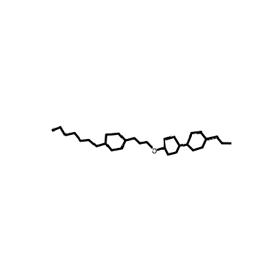 CCCCCCCC1CCC(CCCOC2CCC(C3CCC(CCC)CC3)CC2)CC1